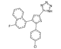 Fc1ccc(-c2cc(-c3nnn[nH]3)sc2-c2ccc(Cl)cc2)c2ccccc12